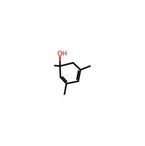 CC1=CC(C)(O)CC(C)=C1